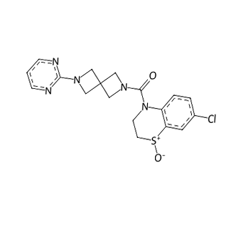 O=C(N1CC2(C1)CN(c1ncccn1)C2)N1CC[S+]([O-])c2cc(Cl)ccc21